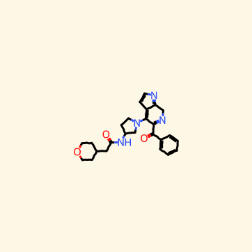 O=C(CC1CCOCC1)NC1CCN(C2=C3C=CN=C3CN=C2C(=O)c2ccccc2)C1